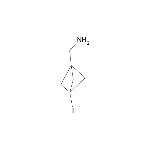 NCC12CC(I)(C1)C2